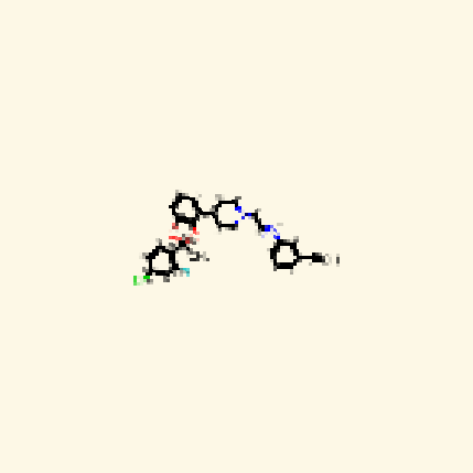 C#Cc1cccc(/N=C/CN2CCC(c3cccc4c3OC(C)(c3ccc(Cl)cc3F)O4)CC2)c1